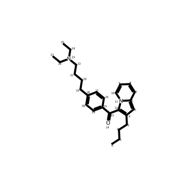 CCCCc1cc2ccccn2c1C(=O)c1ccc(CCCCN(CC)CC)cc1